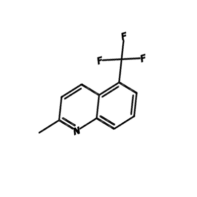 Cc1ccc2c(C(F)(F)F)cccc2n1